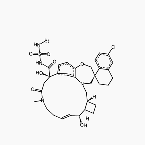 CCNS(=O)(=O)NC(=O)[C@@]1(O)CC(=O)N(C)CC/C=C/[C@H](O)[C@@H]2CC[C@H]2CN2C[C@@]3(CCCc4cc(Cl)ccc43)COc3ccc1cc32